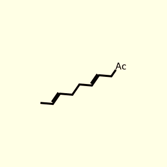 CC=CCCC=CCC(C)=O